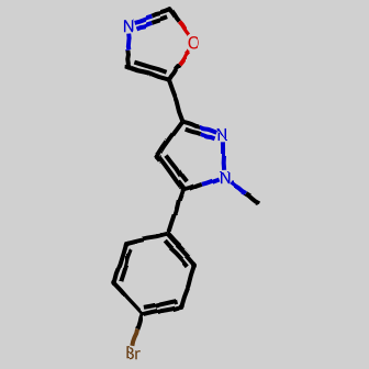 Cn1nc(-c2cnco2)cc1-c1ccc(Br)cc1